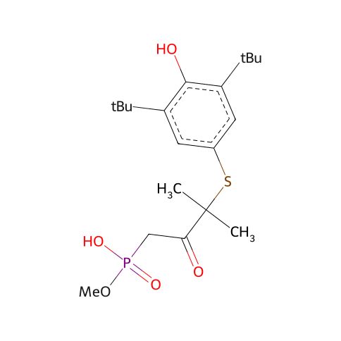 COP(=O)(O)CC(=O)C(C)(C)Sc1cc(C(C)(C)C)c(O)c(C(C)(C)C)c1